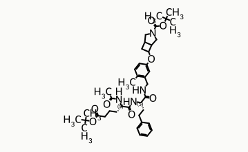 CC(=O)N[C@@H](CCCC(=O)OC(C)(C)C)C(=O)N[C@@H](CCc1ccccc1)C(=O)NCc1cc(OC2CC3CN(C(=O)OC(C)(C)C)CC32)ccc1C